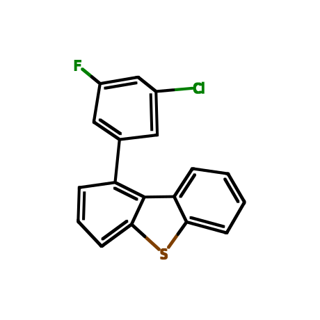 Fc1cc(Cl)cc(-c2cccc3sc4ccccc4c23)c1